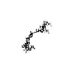 CC(=O)c1c(C)c2cnc(Nc3ccc(N4CCN(C(=O)CCCCCNc5ccc(C)c(C(=O)Nc6nc(C)c(C)s6)c5)CC4)cn3)nc2n(C2CCCC2)c1=O